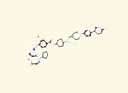 COc1cc(C(=O)NC2CCC(N(C)CC3CCN(c4ccc(C5CCC(=O)NC5=O)nc4)CC3)CC2)ccc1Nc1ncc2c(n1)N(C1CCCC1)CC(F)(F)C(=O)N2C